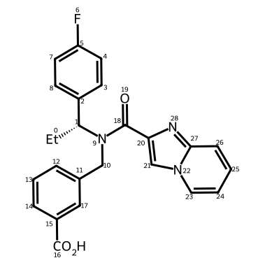 CC[C@H](c1ccc(F)cc1)N(Cc1cccc(C(=O)O)c1)C(=O)c1cn2ccccc2n1